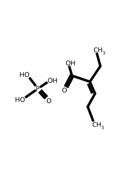 CCC=C(CC)C(=O)O.O=P(O)(O)O